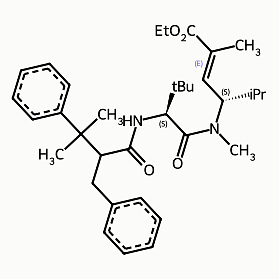 CCOC(=O)/C(C)=C/[C@H](C(C)C)N(C)C(=O)[C@@H](NC(=O)C(Cc1ccccc1)C(C)(C)c1ccccc1)C(C)(C)C